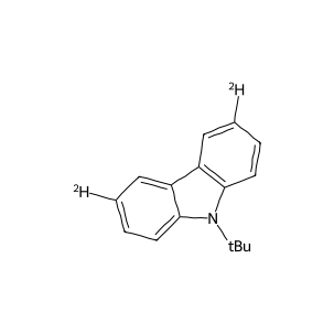 [2H]c1ccc2c(c1)c1cc([2H])ccc1n2C(C)(C)C